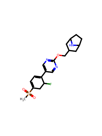 CS(=O)(=O)C1=CC=C(c2cnc(OCC3CC4CCC(C3)N4)nc2)C(F)C1